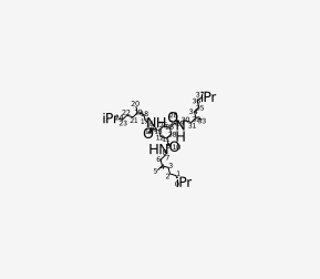 CC(C)CCCC(C)CCNC(=O)[C@H]1C[C@@H](C(=O)NCCC(C)CCCC(C)C)C[C@@H](C(=O)NCCC(C)CCCC(C)C)C1